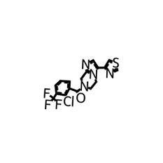 O=C(c1cccc(C(F)(F)F)c1Cl)N1CCn2c(-c3cscn3)cnc2C1